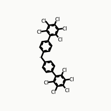 Clc1c(Cl)c(Cl)c(-c2ccc([CH]c3ccc(-c4c(Cl)c(Cl)c(Cl)c(Cl)c4Cl)cc3)cc2)c(Cl)c1Cl